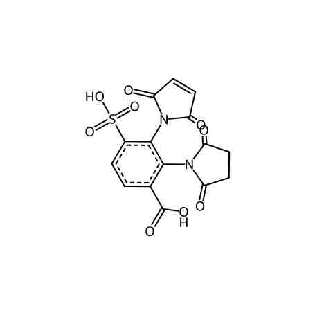 O=C(O)c1ccc(S(=O)(=O)O)c(N2C(=O)C=CC2=O)c1N1C(=O)CCC1=O